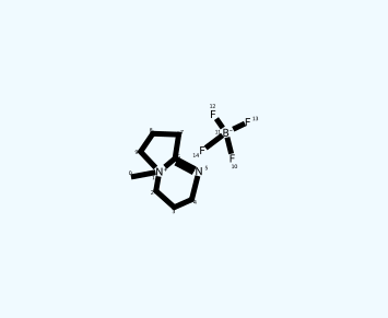 C[N+]12CCCN=C1CCC2.F[B-](F)(F)F